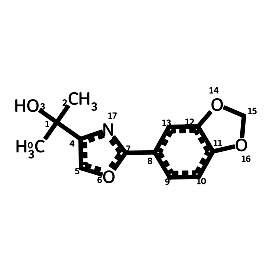 CC(C)(O)c1coc(-c2ccc3c(c2)OCO3)n1